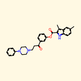 Cc1ccc2[nH]c(C(=O)Oc3cccc(C(=O)CCN4CCN(c5ccccc5)CC4)c3)c(C)c2c1